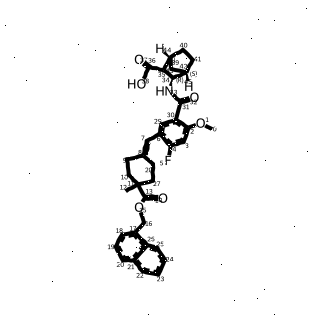 COc1cc(F)c(C=C2CCC(C)(C(=O)OCc3cccc4ccccc34)CC2)cc1C(=O)N[C@H]1C(C(=O)O)[C@@H]2CC[C@H]1C2